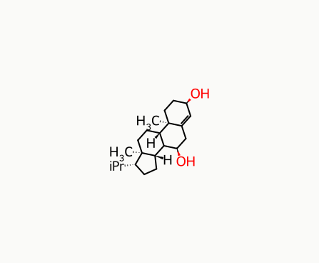 CC(C)[C@H]1CC[C@H]2C3[C@H](O)CC4=C[C@H](O)CC[C@]4(C)[C@H]3CC[C@]12C